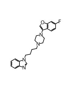 Fc1ccc2c(N3CCN(CCCCn4cnc5ccccc54)CC3)coc2c1